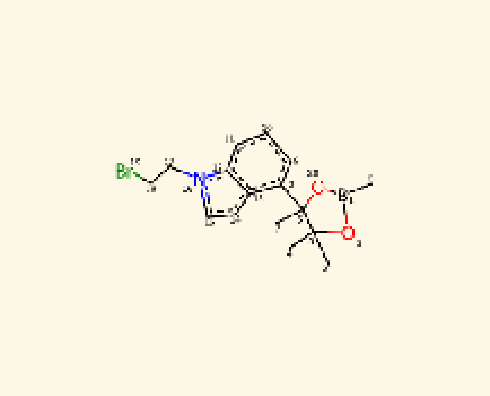 CB1OC(C)(C)C(C)(c2cccc3c2ccn3CCBr)O1